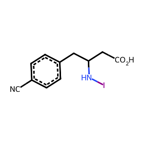 N#Cc1ccc(CC(CC(=O)O)NI)cc1